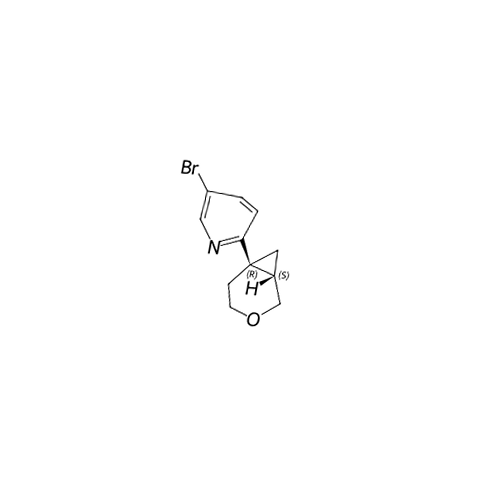 Brc1ccc([C@]23CCOC[C@H]2C3)nc1